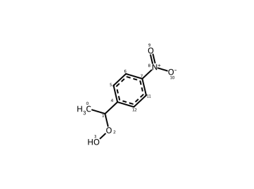 CC(OO)c1ccc([N+](=O)[O-])cc1